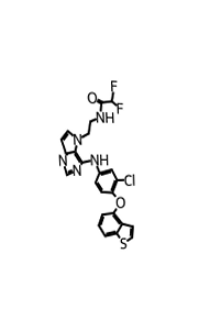 O=C(NCCn1ccc2ncnc(Nc3ccc(Oc4cccc5sccc45)c(Cl)c3)c21)C(F)F